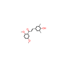 COc1ccc(OC)c(C(=O)C=Cc2cc(C)c(O)c(C)c2)c1